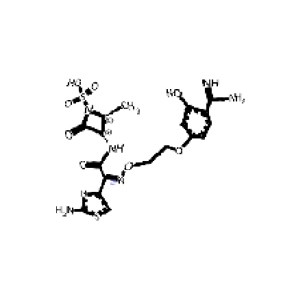 C[C@H]1[C@H](NC(=O)/C(=N\OCCOc2ccc(C(=N)N)c(O)c2)c2csc(N)n2)C(=O)N1S(=O)(=O)O